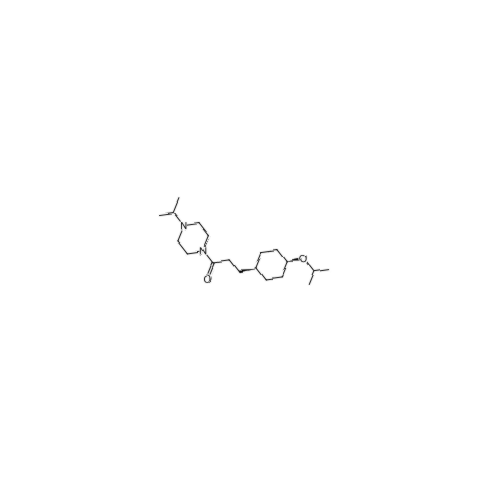 CC(C)O[C@H]1CC[C@@H](CCC(=O)N2CCN(C(C)C)CC2)CC1